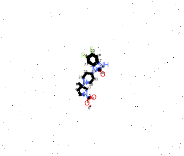 COC(=O)N1CCC(C)(N2CCC(n3c(=O)[nH]c4cc(F)c(F)cc43)CC2)C1